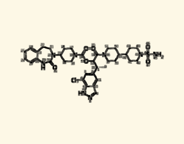 C[C@H](c1cc(Cl)c2[nH]ncc2c1)C(OC(=O)N1CCC(N2CCc3ccccc3NC2=O)CC1)C(=O)N1CCC(C2CCN(S(N)(=O)=O)CC2)CC1